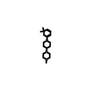 CN1CCN(C2CCN(C3=CC=CC(C)(C)C3)CC2)CC1